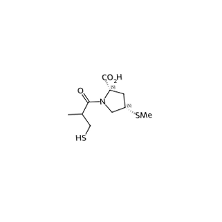 CS[C@H]1C[C@@H](C(=O)O)N(C(=O)C(C)CS)C1